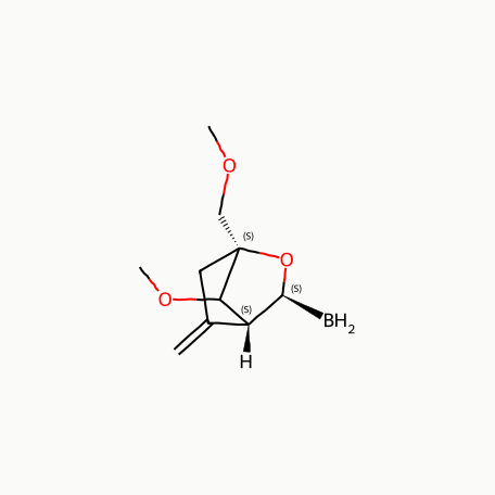 B[C@@H]1O[C@]2(COC)CC(=C)[C@@H]1C2OC